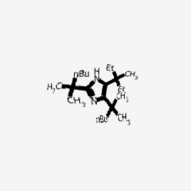 CCCCC(C)(C)c1nc(C(C)(C)CCCC)c(C(C)(CC)CC)[nH]1